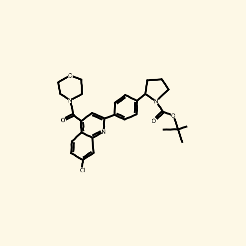 CC(C)(C)OC(=O)N1CCCC1c1ccc(-c2cc(C(=O)N3CCOCC3)c3ccc(Cl)cc3n2)cc1